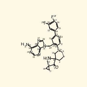 CC1(C(=O)C2(N)CCCN(c3cnc(-c4ccc(F)c(F)c4)cc3Cn3cnc4c(N)ncnc43)C2)CC1